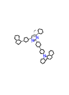 CC[C@H]1C=C(c2ccc(-c3cccc4ccccc34)cc2)N(C)[C@@H](c2ccc(-c3ccc(-n4c5ccccc5c5ccc6ccccc6c54)cc3)cc2)N=C1c1ccccc1